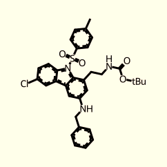 Cc1ccc(S(=O)(=O)n2c3ccc(Cl)cc3c3cc(NCc4ccccc4)cc(CCNC(=O)OC(C)(C)C)c32)cc1